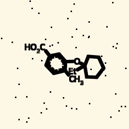 CCC1(Oc2cc(C(=O)O)ccc2C)CCCCC1